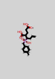 C=CCC(C(CCC(=O)O)C(=O)O)P(=O)(O)Cc1ccc(C)cc1